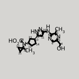 Cc1nc(CO)cnc1Nc1cc([C@H]2CC[C@@H](N(C(=O)O)C3(C)CC3)C2)[nH]n1